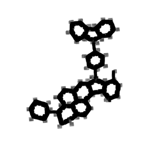 Cc1ccnc2c3c4ccc5ccc(-c6ccccc6)c6ccc(cc3n(-c3ccc(-n7c8ccccc8c8ccccc87)cc3)c12)c4c56